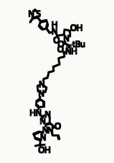 C=CCn1c(=O)c2cnc(Nc3ccc(N4CCN(CCCCCCCCC(=O)N[C@H](C(=O)N5CC(O)CC5C(=O)NCc5ccc(-c6scnc6C)cc5)C(C)(C)C)CC4)cc3)nc2n1-c1cccc(C(C)(C)O)n1